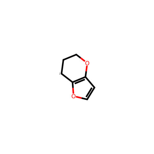 [C]1CCOc2ccoc21